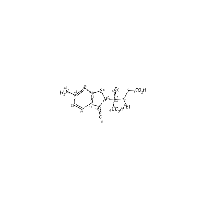 CCC(CC(=O)O)[C@](CC)(C(=O)O)n1sc2cc(N)ccc2c1=O